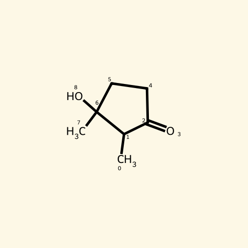 CC1C(=O)CCC1(C)O